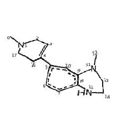 CN1CC=C(c2ccc3c(c2)N(C)CCN3)CC1